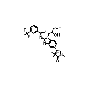 CN1C[C@H](c2ccc3c(c2)nc(NC(=O)c2cccc(C(F)(F)F)c2)n3CC(O)CO)C(C)(C)C1=O